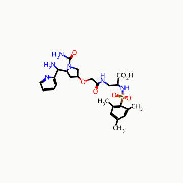 Cc1cc(C)c(S(=O)(=O)NC(CNC(=O)COC2CC(C(N)c3ccccn3)N(C(N)=O)C2)C(=O)O)c(C)c1